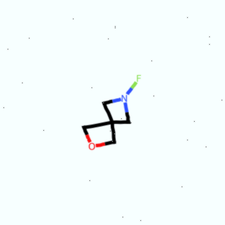 FN1CC2(COC2)C1